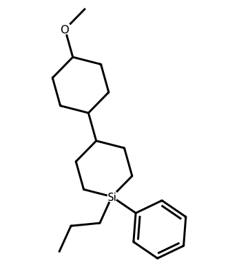 CCC[Si]1(c2ccccc2)CCC(C2CCC(OC)CC2)CC1